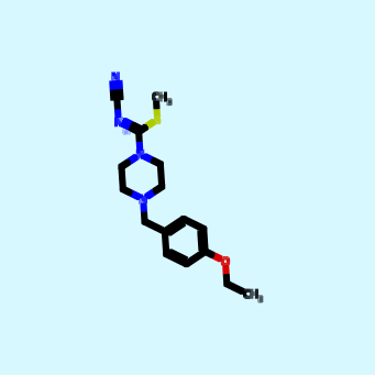 CCOc1ccc(CN2CCN(/C(=N/C#N)SC)CC2)cc1